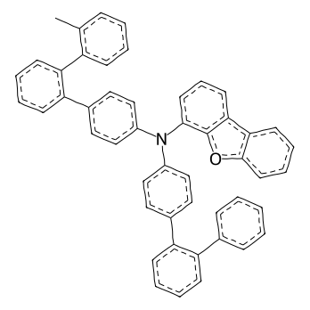 Cc1ccccc1-c1ccccc1-c1ccc(N(c2ccc(-c3ccccc3-c3ccccc3)cc2)c2cccc3c2oc2ccccc23)cc1